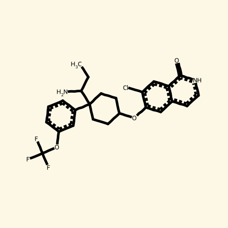 CCC(N)C1(c2cccc(OC(F)(F)F)c2)CCC(Oc2cc3cc[nH]c(=O)c3cc2Cl)CC1